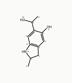 CC1Cc2cc(O)c(C(C)O)cc2N1